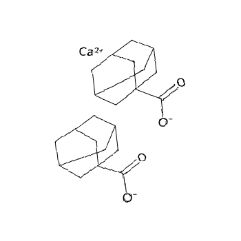 O=C([O-])C12CC3CC(CC(C3)C1)C2.O=C([O-])C12CC3CC(CC(C3)C1)C2.[Ca+2]